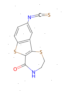 O=C1NCCSc2c1sc1ccc(N=C=S)cc21